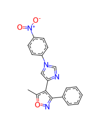 Cc1onc(-c2ccccc2)c1-c1cn(-c2ccc([N+](=O)[O-])cc2)cn1